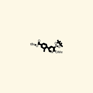 COc1ncc(-c2ccc(C(=O)OC(C)(C)C)cc2C)cc1B1OC(C)(C)C(C)(C)O1